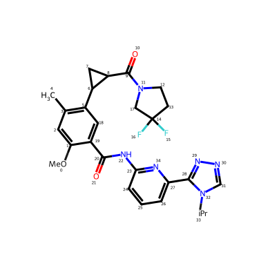 COc1cc(C)c(C2CC2C(=O)N2CCC(F)(F)C2)cc1C(=O)Nc1cccc(-c2nncn2C(C)C)n1